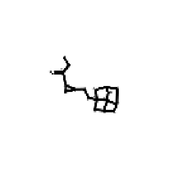 CCC(=O)C1CC1CCC12CC3CC4CC(C1)C42C3